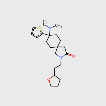 CN(C)C1(c2cccs2)CCC2(CC1)CC(=O)N(CCC1CCCO1)C2